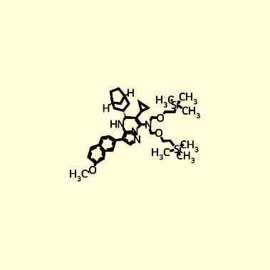 COc1ccc2ccc(-c3cnn4c3NC([C@H]3C[C@@H]5CC[C@@H](C5)C3)C(C3CC3)=C4N(COCC[Si](C)(C)C)COCC[Si](C)(C)C)cc2c1